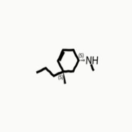 CCC[C@]1(C)C=CC[C@H](NC)C1